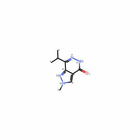 CC(C)c1n[nH]c(=O)c2cn(C)nc12